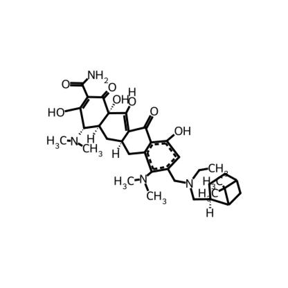 CCN(Cc1cc(O)c2c(c1N(C)C)C[C@H]1C[C@H]3[C@H](N(C)C)C(O)=C(C(N)=O)C(=O)[C@@]3(O)C(O)=C1C2=O)C[C@H]1CCC2CC1C2(C)C